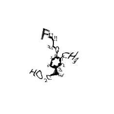 Cc1cc(CC(=O)O)ccc1OCCF